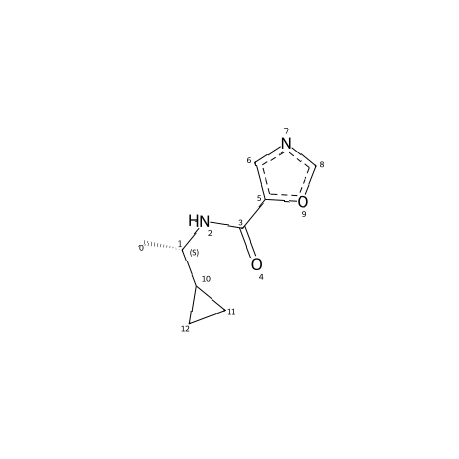 C[C@H](NC(=O)c1cnco1)C1CC1